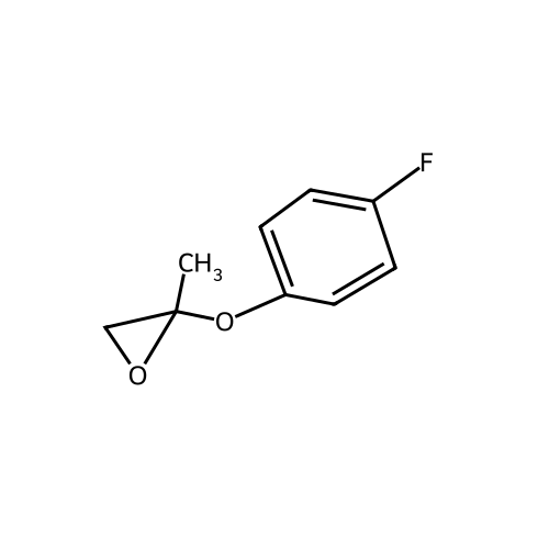 CC1(Oc2ccc(F)cc2)CO1